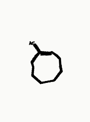 CC(=O)C1=CCCCCCC1